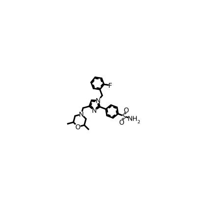 CC1CN(Cc2cn(Cc3ccccc3F)c(-c3ccc(S(N)(=O)=O)cc3)n2)CC(C)O1